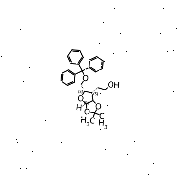 CC1(C)OC2[C@H](O[C@H](COC(c3ccccc3)(c3ccccc3)c3ccccc3)[C@@H]2CCO)O1